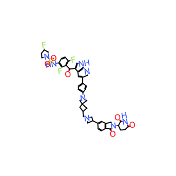 O=C1CC[C@@H](N2Cc3cc(C4CN(CC5CC6(C5)CN(c5ccc(-c7cnc8[nH]cc(C(=O)c9c(F)ccc(NS(=O)(=O)N%10CC[C@@H](F)C%10)c9F)c8c7)cc5)C6)C4)ccc3C2=O)C(=O)N1